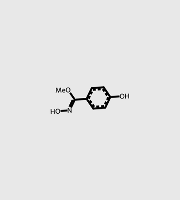 COC(=NO)c1ccc(O)cc1